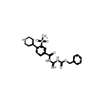 CS(=O)(=O)c1cc(C(=O)NC(=N)NC(=O)OCc2ccccc2)ccc1C1CCNCC1